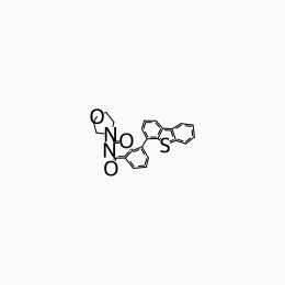 O=c1nc(N2CCOCC2)oc2c(-c3cccc4c3sc3ccccc34)cccc12